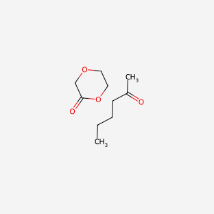 CCCCC(C)=O.O=C1COCCO1